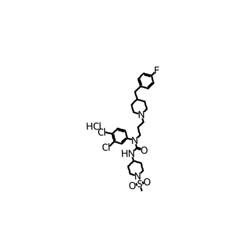 CS(=O)(=O)N1CCC(NC(=O)N(CCCN2CCC(Cc3ccc(F)cc3)CC2)c2ccc(Cl)c(Cl)c2)CC1.Cl